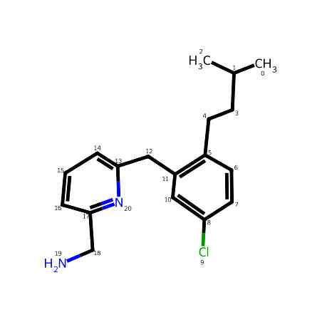 CC(C)CCc1ccc(Cl)cc1Cc1cccc(CN)n1